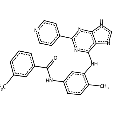 Cc1ccc(NC(=O)c2cccc(C(F)(F)F)c2)cc1Nc1nc(-c2ccncc2)nc2[nH]cnc12